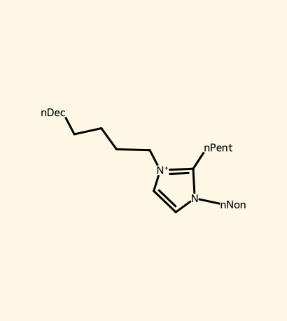 CCCCCCCCCCCCCC[n+]1ccn(CCCCCCCCC)c1CCCCC